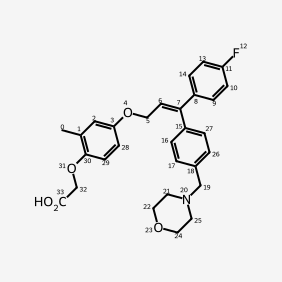 Cc1cc(OC/C=C(/c2ccc(F)cc2)c2ccc(CN3CCOCC3)cc2)ccc1OCC(=O)O